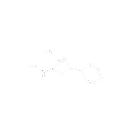 CCC(C)Nn1cc(-c2ccccc2)nc1N